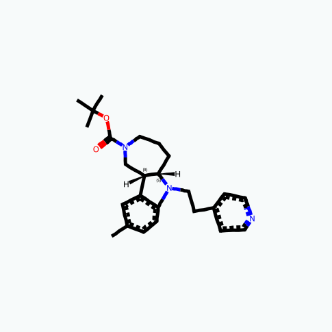 Cc1ccc2c(c1)[C@@H]1CN(C(=O)OC(C)(C)C)CCC[C@@H]1N2CCc1ccncc1